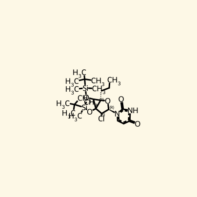 CCC[C@]12O[C@@H](n3ccc(=O)[nH]c3=O)[C@H](Cl)C1(O[Si](C)(C)C(C)(C)C)C2O[Si](C)(C)C(C)(C)C